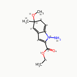 CCOC(=O)c1cc2c(n1N)=CCC(C)(OC)C=2